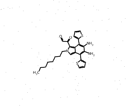 CCCCCCCCn1cc2c(-c3cccs3)c(N)c(N)c(-c3cccs3)c2c1C(=O)C=O